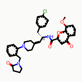 COc1cccc2c(=O)cc(C(=O)N[C@H](C=C3CCN(c4ccccc4CN4CCCC4=O)CC3)Cc3ccc(Cl)cc3)oc12